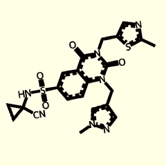 Cc1ncc(Cn2c(=O)c3cc(S(=O)(=O)NC4(C#N)CC4)ccc3n(Cc3cnn(C)c3)c2=O)s1